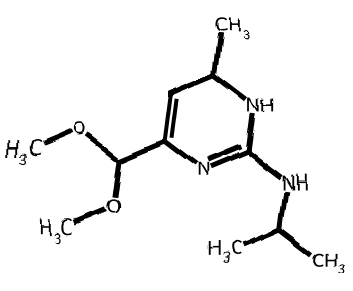 COC(OC)C1=CC(C)NC(NC(C)C)=N1